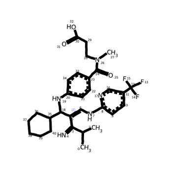 CC(C)C(=N)/C(=C\Nc1ccc(C(F)(F)F)cn1)C(Nc1ccc(C(=O)N(C)CCC(=O)O)cc1)C1CCCCC1